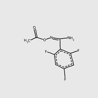 CC(=O)O/N=C(/N)c1c(F)cc(F)cc1F